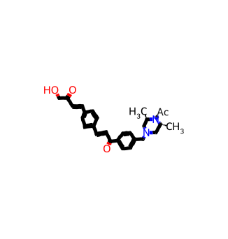 CC(=O)N1[C@H](C)CN(Cc2ccc(C(=O)/C=C/c3ccc(/C=C/C(=O)CO)cc3)cc2)C[C@@H]1C